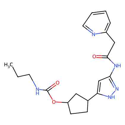 CCCNC(=O)OC1CCC(c2cc(NC(=O)Cc3ccccn3)n[nH]2)C1